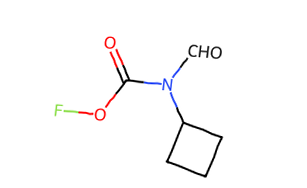 O=CN(C(=O)OF)C1CCC1